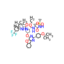 C=C[C@@H]1C[C@]1(NC(=O)[C@@H]1C[C@@H](Oc2nc(-c3ccc(OC(C)C)cc3)nc3c2oc2ccccc23)CN1C(=O)[C@@H](Nc1cccc(C(F)(F)F)c1)C(C)(C)C)C(=O)NS(=O)(=O)C1CC1